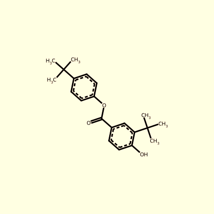 CC(C)(C)c1ccc(OC(=O)c2ccc(O)c(C(C)(C)C)c2)cc1